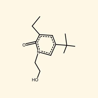 CCc1cc(C(C)(C)C)cn(CCO)c1=O